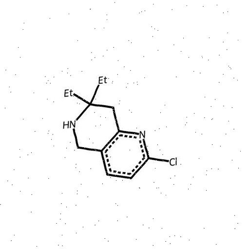 CCC1(CC)Cc2nc(Cl)ccc2CN1